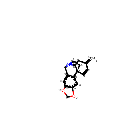 C=C1C=C[C@]23CCN(Cc4cc5c(cc42)OCO5)[C@H]3C1